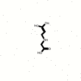 O=C(O)CNCC=C(O)O